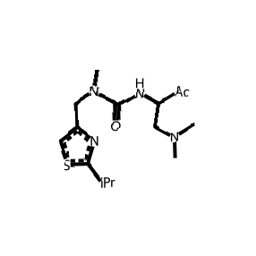 CC(=O)C(CN(C)C)NC(=O)N(C)Cc1csc(C(C)C)n1